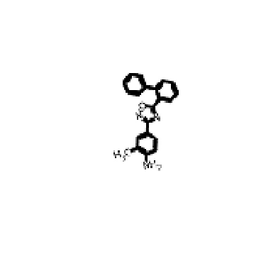 Cc1cc(-c2noc(-c3ccccc3-c3ccccc3)n2)ccc1N